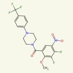 COc1c(C(=O)N2CCN(c3ccc(C(F)(F)F)cc3)CC2)cc([N+](=O)[O-])c(F)c1F